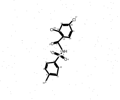 O=C(NS(=O)(=O)c1ccc(I)cc1)c1ccc(Cl)cc1Cl